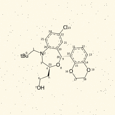 CC(C)(C)CN1C[C@H](CCO)O[C@@H](c2cccc3c2OCCO3)c2cc(Cl)ccc21